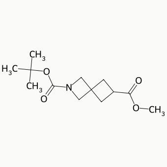 COC(=O)C1CC2(C1)CN(C(=O)OC(C)(C)C)C2